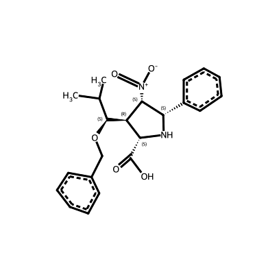 CC(C)[C@H](OCc1ccccc1)[C@H]1[C@H]([N+](=O)[O-])[C@H](c2ccccc2)N[C@@H]1C(=O)O